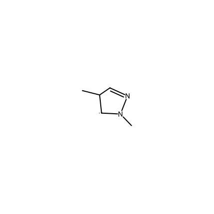 CC1[CH]N(C)N=C1